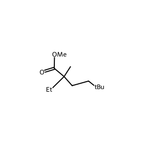 CCC(C)(CCC(C)(C)C)C(=O)OC